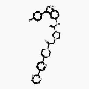 O=C(Nc1ccc2[nH]nc(-c3ccc(F)cc3)c2c1)[C@H]1CCN(CC(=O)N2CC=C(c3ccc(-c4ncccn4)cn3)CC2)C1